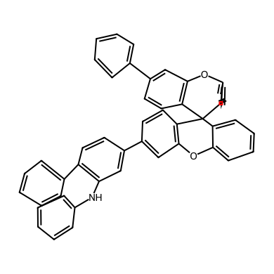 c1ccc(Nc2cc(-c3ccc4c(c3)Oc3ccccc3C43c4ccccc4Oc4cc(-c5ccccc5)ccc43)ccc2-c2ccccc2)cc1